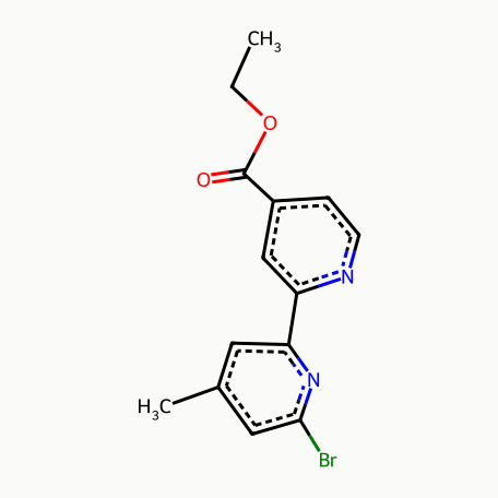 CCOC(=O)c1ccnc(-c2cc(C)cc(Br)n2)c1